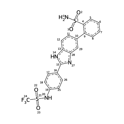 NS(=O)(=O)c1ccccc1-c1ccc2[nH]c(-c3ccc(NS(=O)(=O)C(F)(F)F)cc3)nc2c1